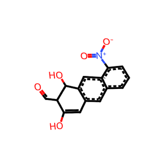 O=CC1C(O)=Cc2cc3cccc([N+](=O)[O-])c3cc2C1O